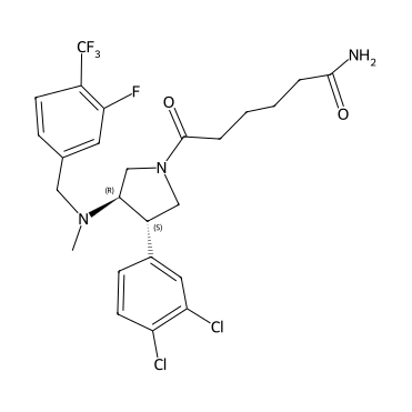 CN(Cc1ccc(C(F)(F)F)c(F)c1)[C@H]1CN(C(=O)CCCCC(N)=O)C[C@@H]1c1ccc(Cl)c(Cl)c1